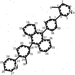 Cc1ccncc1-c1ccc(-c2c3ccccc3c(-c3ccc(-c4ccccn4)c(C)c3)c3ccccc23)cc1